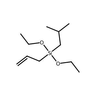 C=CC[Si](CC(C)C)(OCC)OCC